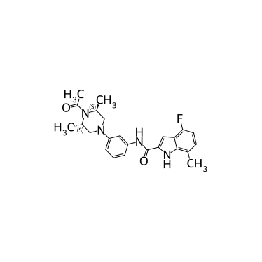 CC(=O)N1[C@@H](C)CN(c2cccc(NC(=O)c3cc4c(F)ccc(C)c4[nH]3)c2)C[C@@H]1C